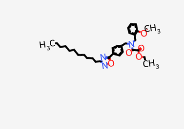 CCCCCCCCCCCc1noc(-c2ccc(CN(Cc3ccccc3OC)C(=O)C(=O)OCC)cc2)n1